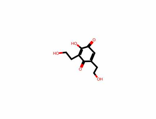 O=C1C=C(CCO)C(=O)C(CCO)=C1O